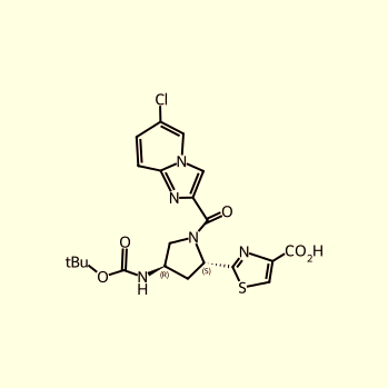 CC(C)(C)OC(=O)N[C@@H]1C[C@@H](c2nc(C(=O)O)cs2)N(C(=O)c2cn3cc(Cl)ccc3n2)C1